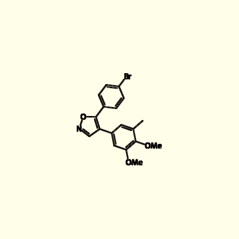 COc1cc(-c2cnoc2-c2ccc(Br)cc2)cc(C)c1OC